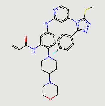 C=CC(=O)Nc1cc(Nc2cc(-n3c(SC)nnc3-c3ccc(F)cc3)ccn2)ccc1N1CCC(N2CCOCC2)CC1